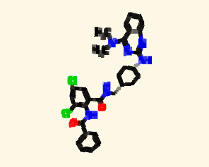 CN(C)c1nc(N[C@H]2CC[C@@H](CNC(=O)c3cc(Cl)cc(Cl)c3NC(=O)c3ccccc3)CC2)nc2ccccc12